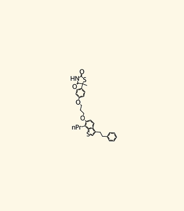 CCCc1c(OCCCOc2ccc(C3(C)SC(=O)NC3=O)cc2)ccc2c(CCc3ccccc3)csc12